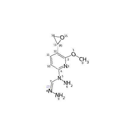 COc1nc(N(N)/C=N\N)ccc1[C@@H]1CO1